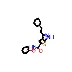 O=C(NOc1ccccc1)c1cc2c(/C=C/c3ccccc3)n[nH]c2s1